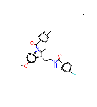 COc1ccc2c(c1)c(CCNC(=O)c1ccc(F)cc1)c(C)n2C(=O)c1ccc(C)cc1